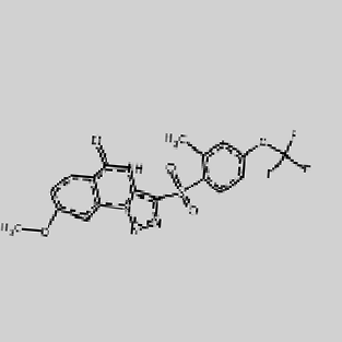 COc1ccc2c(=O)[nH]c3c(S(=O)(=O)c4ccc(OC(F)(F)F)cc4C)nnn3c2c1